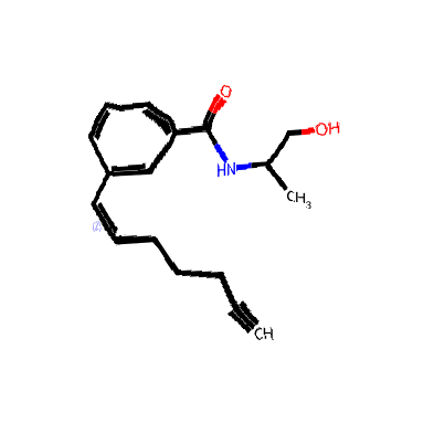 C#CCCC/C=C\c1cccc(C(=O)NC(C)CO)c1